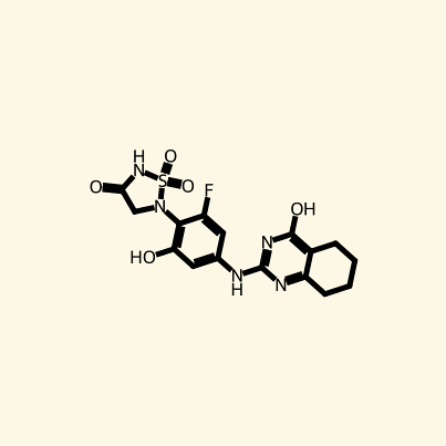 O=C1CN(c2c(O)cc(Nc3nc(O)c4c(n3)CCCC4)cc2F)S(=O)(=O)N1